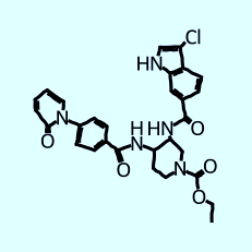 CCOC(=O)N1CCC(NC(=O)c2ccc(-n3ccccc3=O)cc2)C(NC(=O)c2ccc3c(Cl)c[nH]c3c2)C1